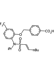 CCCCC=CS(=O)(=O)N(c1ccc(C(F)(F)F)cc1OCc1ccc(C(=O)O)cc1)C(C)C